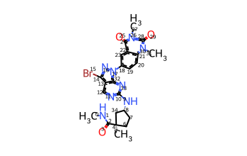 CNC(=O)[C@]1(C)CC[C@@H](Nc2ncc3c(Br)nn(-c4ccc5c(c4)c(=O)n(C)c(=O)n5C)c3n2)C1